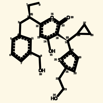 CC[C@H](Cc1cccc(CO)c1)c1cc(O)c([C@@H](c2ccc(CCO)s2)C2CC2)c(=O)o1